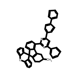 CC1CCC2=C(C1)c1c(-c3nc(-c4ccccc4)cc(-c4ccc(-c5ccccc5)cc4)n3)cccc1C21c2ccccc2Oc2ccccc21